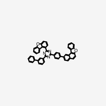 c1ccc(-c2cccc(-c3nc(-c4ccc(-c5ccc6ccc7oc8ccccc8c7c6c5)cc4)nc(-c4cccc5oc6ccccc6c45)n3)c2)cc1